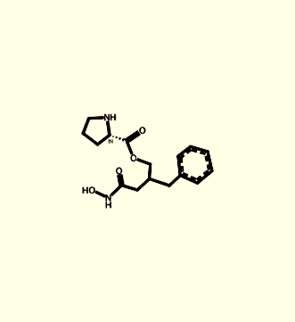 O=C(CC(COC(=O)[C@@H]1CCCN1)Cc1ccccc1)NO